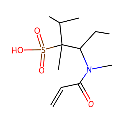 C=CC(=O)N(C)C(CC)C(C)(C(C)C)S(=O)(=O)O